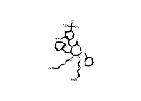 COCCOCO[C@@H]1[C@@H](OCOCCOC)[C@@H](Cc2ccccc2)NC(=O)N(Cc2ccc(C(O)(C(F)(F)F)C(F)(F)F)cc2OC)[C@@H]1Cc1ccccc1